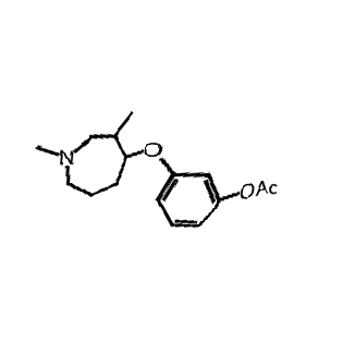 CC(=O)Oc1cccc(OC2CCCN(C)CC2C)c1